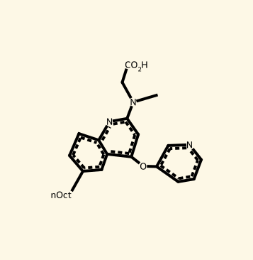 CCCCCCCCc1ccc2nc(N(C)CC(=O)O)cc(Oc3cccnc3)c2c1